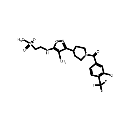 Cc1c(C2CCN(C(=O)c3ccc(C(F)(F)F)c(Cl)c3)CC2)noc1NCCS(C)(=O)=O